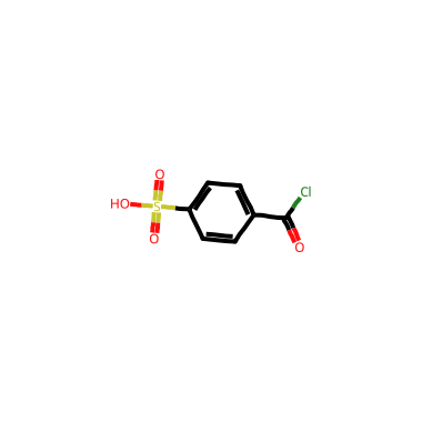 O=C(Cl)c1ccc(S(=O)(=O)O)cc1